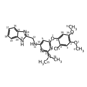 COc1cc(Cl)c(Oc2cc(NCc3nc4ccccc4[nH]3)nc(N(C)C)n2)cc1OC